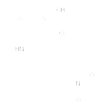 CSC1(Cl)C(=O)Nc2ccc([N+](=O)[O-])cc21